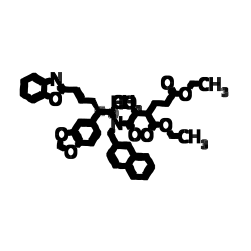 CCOC(=O)CCC(C(=O)OCC)C(O)C(=O)N(Cc1ccc2ccccc2c1)[C@H](C)[C@H](CC=Cc1nc2ccccc2o1)c1ccc2c(c1)OCO2